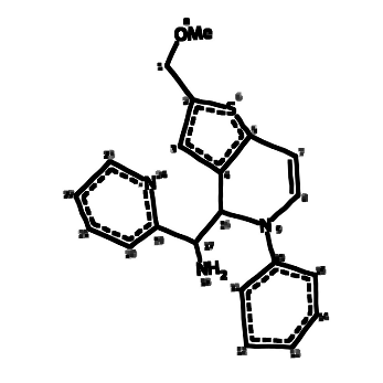 COCc1cc2c(s1)C=CN(c1ccccc1)C2C(N)c1ccccn1